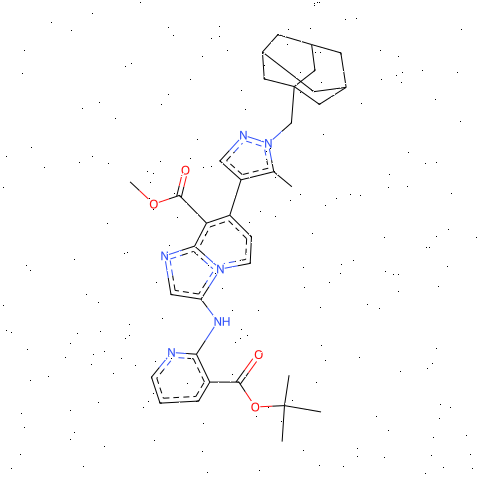 COC(=O)c1c(-c2cnn(CC34CC5CC(CC(C5)C3)C4)c2C)ccn2c(Nc3ncccc3C(=O)OC(C)(C)C)cnc12